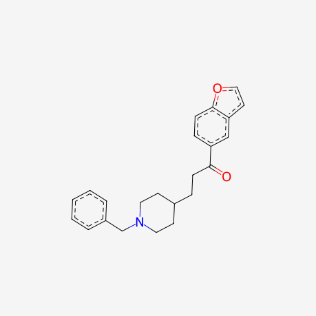 O=C(CCC1CCN(Cc2ccccc2)CC1)c1ccc2occc2c1